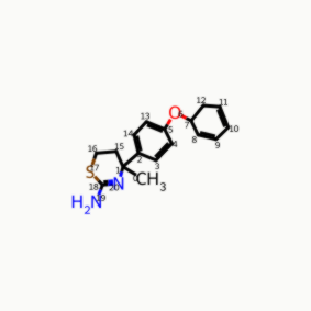 CC1(c2ccc(OC3C=CC=CC3)cc2)CCSC(N)=N1